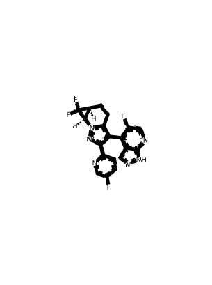 Fc1ccc(-c2nn3c(c2-c2c(F)cnc4[nH]ncc24)CC[C@H]2[C@@H]3C2(F)F)nc1